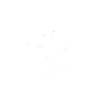 COC(=O)C1=C(CN2CCSC(C)(C)[C@H]2OC(=O)O)NC(c2nccs2)=N[C@H]1c1ccc(F)cc1Cl